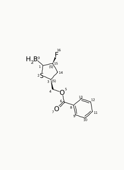 BC1S[C@H](COC(=O)c2ccccc2)C[C@@H]1F